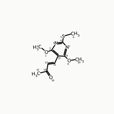 COc1nc(SC)nc(OC)c1C=CC(C)=O